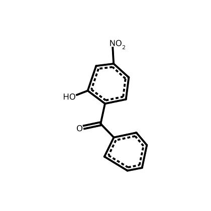 O=C(c1ccccc1)c1ccc([N+](=O)[O-])cc1O